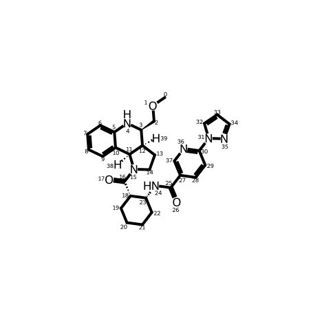 COC[C@@H]1Nc2ccccc2[C@H]2[C@@H]1CCN2C(=O)[C@H]1CCCC[C@H]1NC(=O)c1ccc(-n2cccn2)nc1